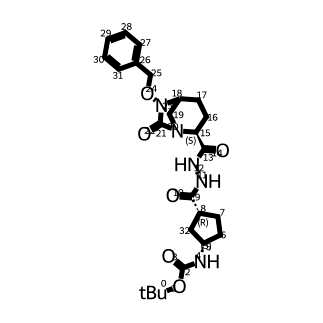 CC(C)(C)OC(=O)N[C@H]1CC[C@@H](C(=O)NNC(=O)[C@@H]2CCC3CN2C(=O)N3OCc2ccccc2)C1